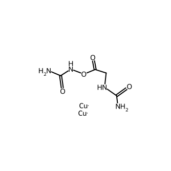 NC(=O)NCC(=O)ONC(N)=O.[Cu].[Cu]